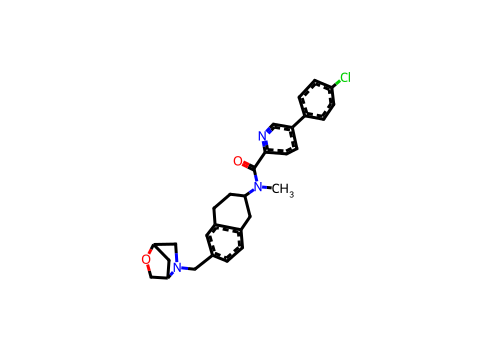 CN(C(=O)c1ccc(-c2ccc(Cl)cc2)cn1)C1CCc2cc(CN3CC4CC3CO4)ccc2C1